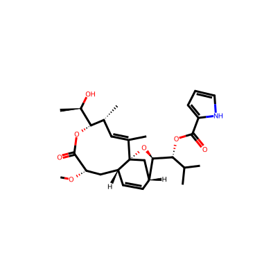 CO[C@H]1C[C@H]2C=C[C@@H]3C[C@]2(O[C@H]3[C@H](OC(=O)c2ccc[nH]2)C(C)C)/C(C)=C/[C@@H](C)[C@@H]([C@@H](C)O)OC1=O